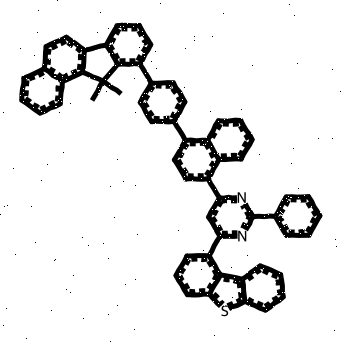 CC1(C)c2c(-c3ccc(-c4ccc(-c5cc(-c6cccc7sc8ccccc8c67)nc(-c6ccccc6)n5)c5ccccc45)cc3)cccc2-c2ccc3ccccc3c21